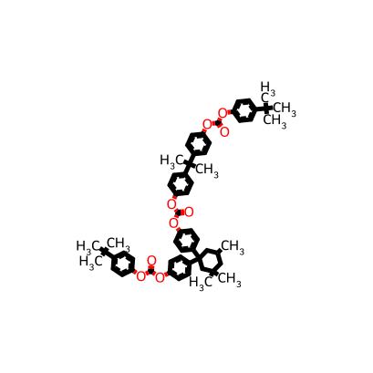 CC1CC(C)(C)CC(c2ccc(OC(=O)Oc3ccc(C(C)(C)C)cc3)cc2)(c2ccc(OC(=O)Oc3ccc(C(C)(C)c4ccc(OC(=O)Oc5ccc(C(C)(C)C)cc5)cc4)cc3)cc2)C1